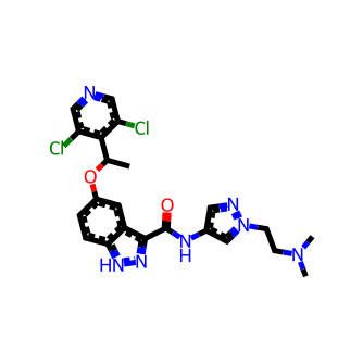 CC(Oc1ccc2[nH]nc(C(=O)Nc3cnn(CCN(C)C)c3)c2c1)c1c(Cl)cncc1Cl